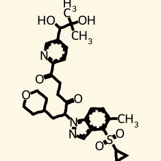 Cc1ccc2c(cnn2C(CC2CCOCC2)C(=O)CCC(=O)c2ccc(C(O)C(C)(C)O)cn2)c1S(=O)(=O)C1CC1